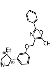 CC[C@H]1CNC[C@H]1c1cccc(OCc2nc(-c3ccccc3)oc2C)c1